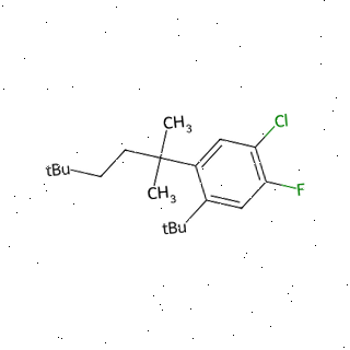 CC(C)(C)CCC(C)(C)c1cc(Cl)c(F)cc1C(C)(C)C